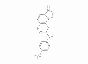 O=C(CC1=C(F)C=CC2NC=CN12)Nc1ccc(C(F)(F)F)cc1